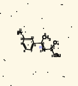 C/C(=N\[S+]([O-])C(C)(C)C)c1cccc(C(C)C)c1